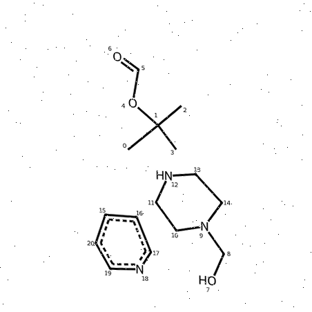 CC(C)(C)OC=O.OCN1CCNCC1.c1ccncc1